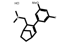 COc1cc(F)cc(C2=CC3CCC(C3)C2CN(C)C)c1.Cl